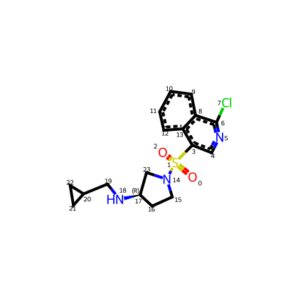 O=S(=O)(c1cnc(Cl)c2ccccc12)N1CC[C@@H](NCC2CC2)C1